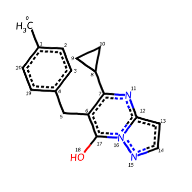 Cc1ccc(Cc2c(C3CC3)nc3ccnn3c2O)cc1